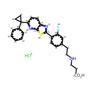 Cl.O=C(O)CCNCCc1ccc(-c2nc3ccc(C4(c5ccccc5)CC4)nc3s2)c(F)c1